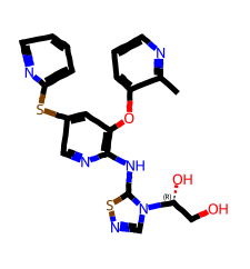 Cc1ncccc1Oc1cc(Sc2ccccn2)cnc1NC1SN=CN1[C@H](O)CO